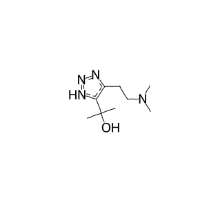 CN(C)CCc1nn[nH]c1C(C)(C)O